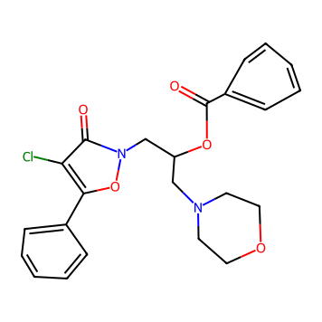 O=C(OC(CN1CCOCC1)Cn1oc(-c2ccccc2)c(Cl)c1=O)c1ccccc1